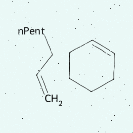 C1=CCCCC1.C=CCCCCCC